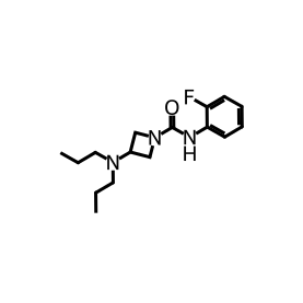 CCCN(CCC)C1CN(C(=O)Nc2ccccc2F)C1